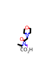 C[C@@H](C(=O)O)N(I)C(=O)CN1CCOCC1